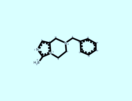 Bc1ncc2n1CCN(Cc1ccccc1)C2